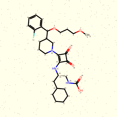 COCCCOC(c1ccccc1F)C1CCCN(c2c(N[C@H](CNC(=O)O)CC3CCCCC3)c(=O)c2=O)C1